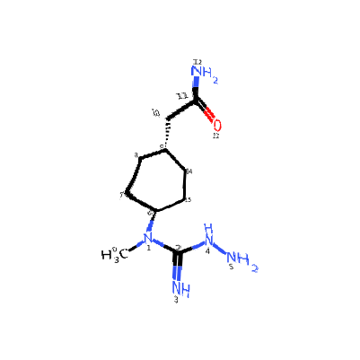 CN(C(=N)NN)[C@H]1CC[C@H](CC(N)=O)CC1